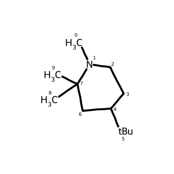 CN1CCC(C(C)(C)C)CC1(C)C